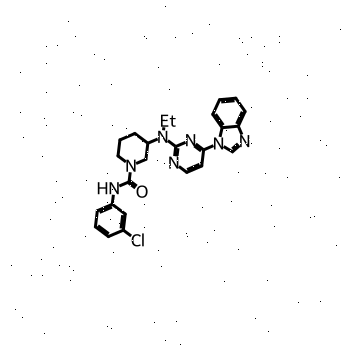 CCN(c1nccc(-n2cnc3ccccc32)n1)C1CCCN(C(=O)Nc2cccc(Cl)c2)C1